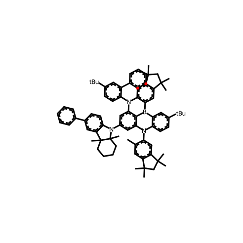 Cc1cc2c(cc1N1c3ccc(C(C)(C)C)cc3B3c4cc5c(cc4N(c4ccc(C(C)(C)C)cc4-c4ccccc4)c4cc(N6c7ccc(-c8ccccc8)cc7C7(C)CCCCC67C)cc1c43)C(C)(C)CC5(C)C)C(C)(C)CC2(C)C